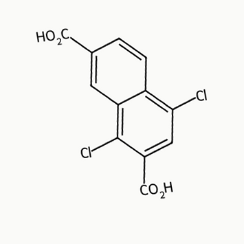 O=C(O)c1ccc2c(Cl)cc(C(=O)O)c(Cl)c2c1